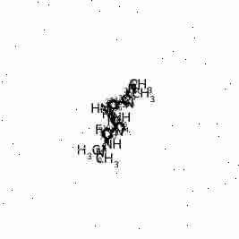 CN(C)CCNc1cc(F)cc(-c2nccc3[nH]c(-c4n[nH]c5ccc(-c6cncc(CN(C)C)c6)cc45)nc23)c1